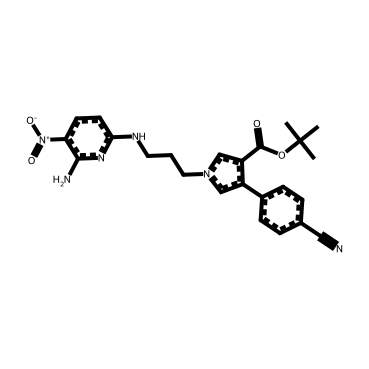 CC(C)(C)OC(=O)c1cn(CCCNc2ccc([N+](=O)[O-])c(N)n2)cc1-c1ccc(C#N)cc1